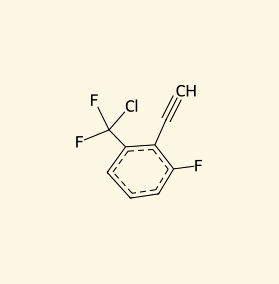 C#Cc1c(F)cccc1C(F)(F)Cl